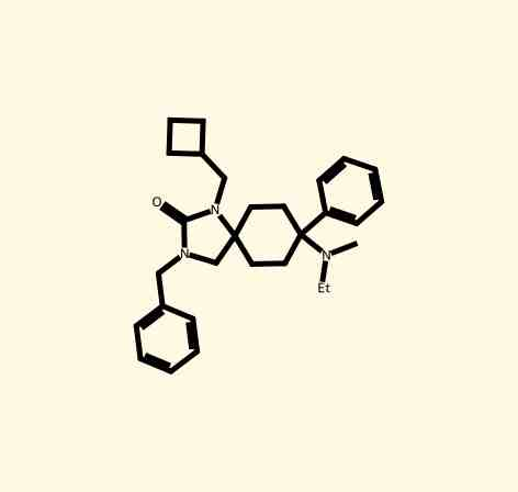 CCN(C)C1(c2ccccc2)CCC2(CC1)CN(Cc1ccccc1)C(=O)N2CC1CCC1